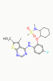 Cc1c(C(=O)O)sc2ncnc(Nc3ccc(F)cc3OC3CCCCC3N(C)S(C)(=O)=O)c12